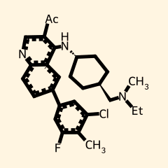 CCN(C)C[C@H]1CC[C@H](Nc2c(C(C)=O)cnc3ccc(-c4cc(F)c(C)c(Cl)c4)cc23)CC1